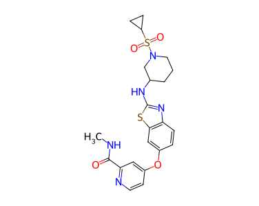 CNC(=O)c1cc(Oc2ccc3nc(NC4CCCN(S(=O)(=O)C5CC5)C4)sc3c2)ccn1